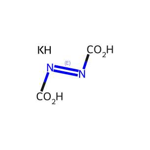 O=C(O)/N=N/C(=O)O.[KH]